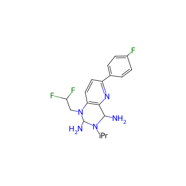 CC(C)N1C(N)c2nc(-c3ccc(F)cc3)ccc2N(CC(F)F)C1N